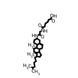 CC(C)CCCCC1CCC2C3CC=C4CC(NC(=O)CNC(=O)CCCCC(=O)O)CCC4(C)C3CCC12C